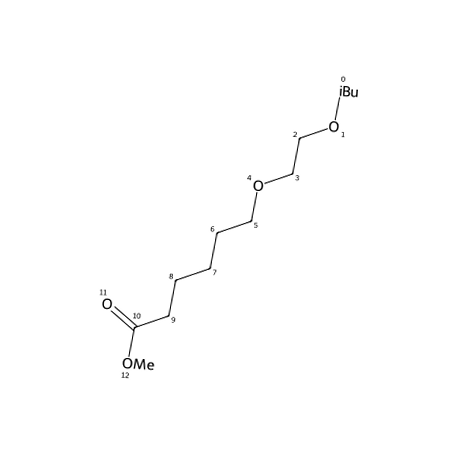 CCC(C)OCCOCCCCCC(=O)OC